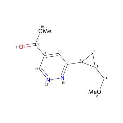 COCC1CC1c1cc(C(=O)OC)cnn1